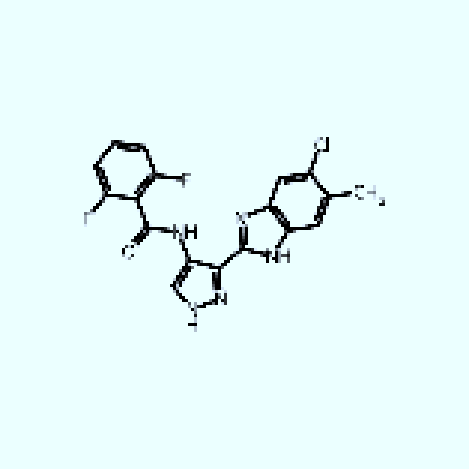 Cc1cc2[nH]c(-c3n[nH]cc3NC(=O)c3c(F)cccc3F)nc2cc1Cl